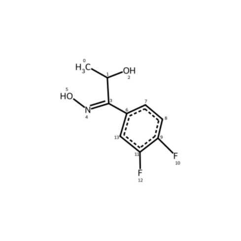 CC(O)C(=NO)c1ccc(F)c(F)c1